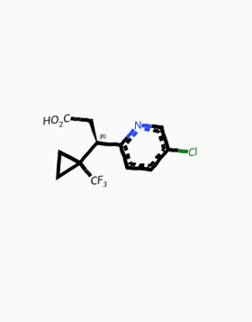 O=C(O)C[C@@H](c1ccc(Cl)cn1)C1(C(F)(F)F)CC1